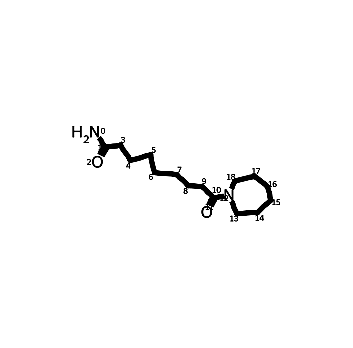 NC(=O)CCCCCCCC(=O)N1CCCCCC1